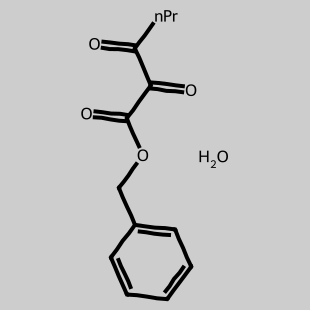 CCCC(=O)C(=O)C(=O)OCc1ccccc1.O